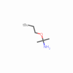 CC(C)(C)CCOC(C)(C)N